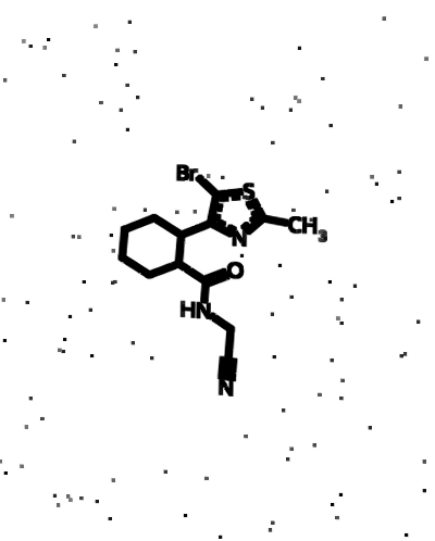 Cc1nc(C2CCCCC2C(=O)NCC#N)c(Br)s1